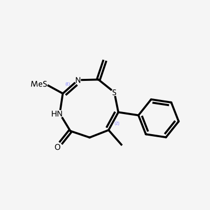 C=C1/N=C(/SC)NC(=O)C/C(C)=C(/c2ccccc2)S1